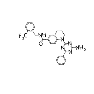 Nc1nc(-c2ccccc2)nc(N2CCCc3cc(C(=O)NCc4ccccc4C(F)(F)F)ccc32)n1